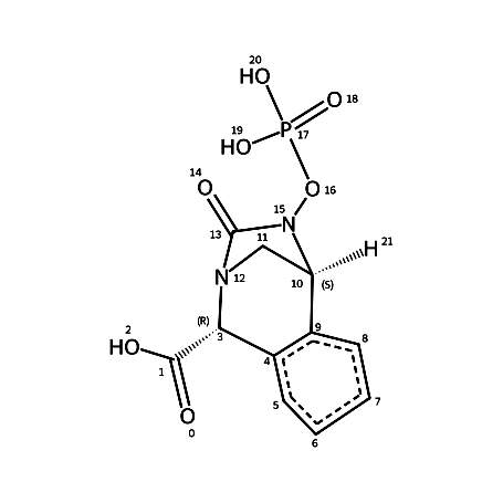 O=C(O)[C@H]1c2ccccc2[C@H]2CN1C(=O)N2OP(=O)(O)O